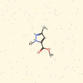 CCCOC(=O)c1cc(C)nn1CC